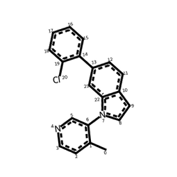 Cc1ccncc1-n1ccc2ccc(-c3ccccc3Cl)cc21